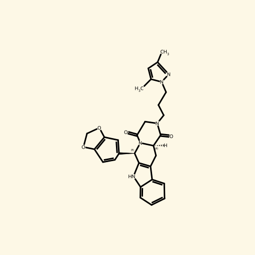 Cc1cc(C)n(CCCN2CC(=O)N3[C@H](c4ccc5c(c4)OCO5)c4[nH]c5ccccc5c4C[C@@H]3C2=O)n1